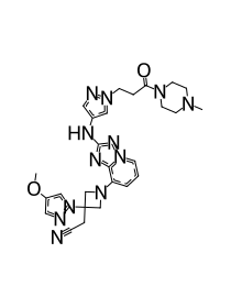 COc1cnn(C2(CC#N)CN(c3cccn4nc(Nc5cnn(CCC(=O)N6CCN(C)CC6)c5)nc34)C2)c1